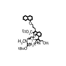 CCOC(=O)c1c(CCCOc2cccc3ccccc23)c2cccc(-c3c(CO)nn(C)c3C)c2n1CCCCN(C)C1OC1OC(C)(C)C